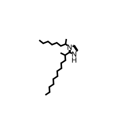 CCCCCCCCCCC(C)c1[nH]cc[n+]1C(C)CCCCCC